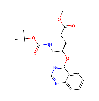 COC(=O)CC[C@H](CNC(=O)OC(C)(C)C)Oc1ncnc2ccccc12